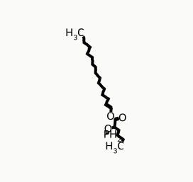 CCCCCCCCCCCCCCC=COC(=O)C(CCCC)OP